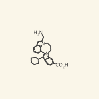 NCc1cc2cccc3c2n1CCCn1c-3c(C2CCCCC2)c2ccc(C(=O)O)cc21